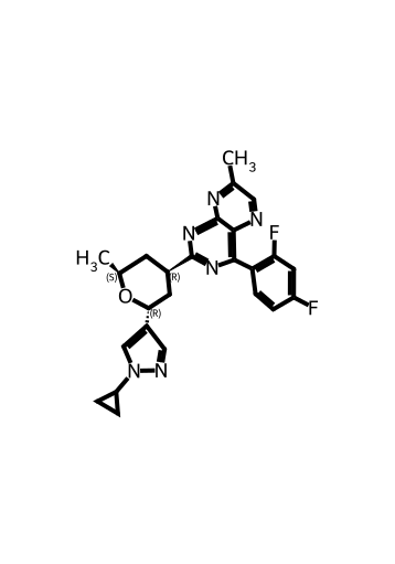 Cc1cnc2c(-c3ccc(F)cc3F)nc([C@@H]3C[C@H](C)O[C@@H](c4cnn(C5CC5)c4)C3)nc2n1